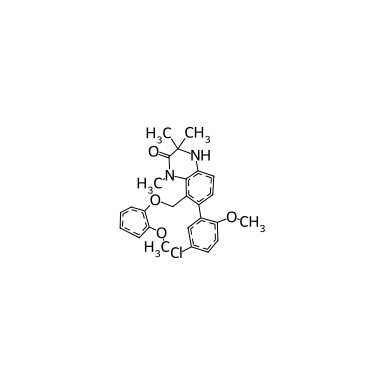 COc1ccccc1OCc1c(-c2cc(Cl)ccc2OC)ccc2c1N(C)C(=O)C(C)(C)N2